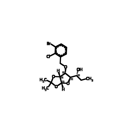 CC[C@@H](O)[C@H]1O[C@@H]2OC(C)(C)O[C@@H]2[C@H]1OCc1cccc(Br)c1Cl